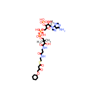 CC(C)(COP(=O)(O)OP(=O)(O)OCC1OC(C)(n2cnc3c(N)ncnc32)C(O)C1OP(=O)(O)O)C(O)C(=O)NCCC(=O)NCCSC(=O)CC(=O)COC1CCCCC1